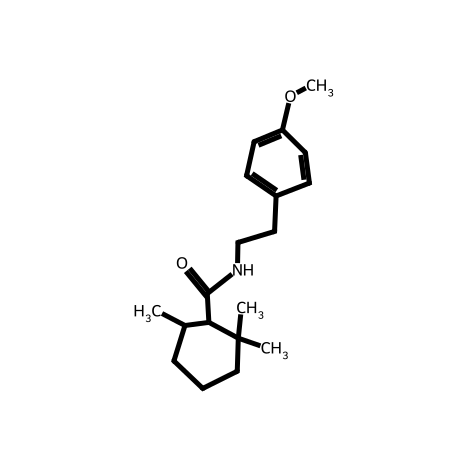 COc1ccc(CCNC(=O)C2C(C)CCCC2(C)C)cc1